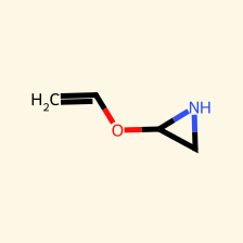 C=COC1CN1